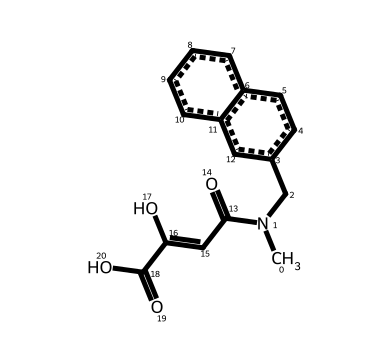 CN(Cc1ccc2ccccc2c1)C(=O)C=C(O)C(=O)O